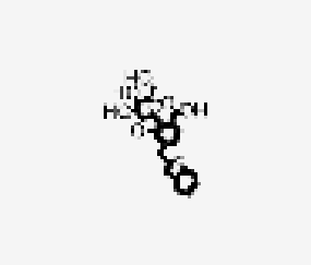 O=C(O)c1ccc(Cc2cc3ccccc3s2)cc1C1O[C@H](CO)[C@@H](O)[C@H](O)[C@H]1O